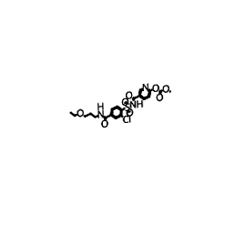 CCOCCCNC(=O)c1ccc(S(=O)(=O)NC(=O)c2ccc(OC(=O)OC)nc2)c(Cl)c1